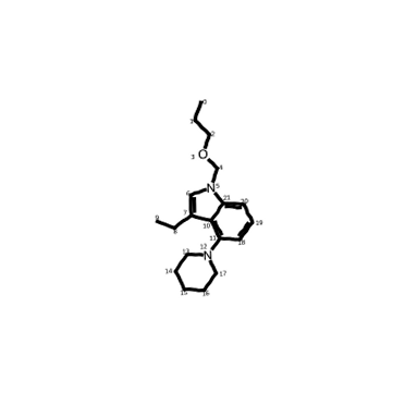 CCCOCn1cc(CC)c2c(N3CCCCC3)cccc21